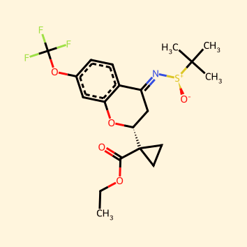 CCOC(=O)C1([C@H]2C/C(=N\[S@+]([O-])C(C)(C)C)c3ccc(OC(F)(F)F)cc3O2)CC1